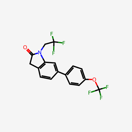 O=C1Cc2ccc(-c3ccc(OC(F)(F)F)cc3)cc2N1CC(F)(F)F